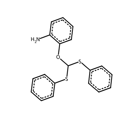 Nc1ccccc1OC(Sc1ccccc1)Sc1ccccc1